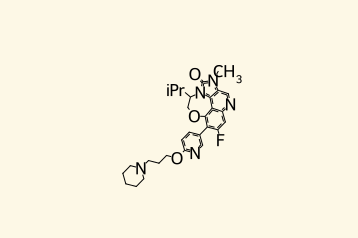 CC(C)C1COc2c(-c3ccc(OCCCN4CCCCC4)nc3)c(F)cc3ncc4c(c23)n1c(=O)n4C